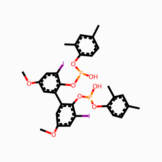 COc1cc(I)c(OP(O)Oc2ccc(C)cc2C)c(-c2cc(OC)cc(I)c2OP(O)Oc2ccc(C)cc2C)c1